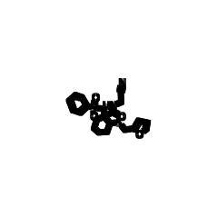 N#CCNC(=O)C1(CS(=O)(=O)c2ccccc2)CCCCC1SCc1ccco1